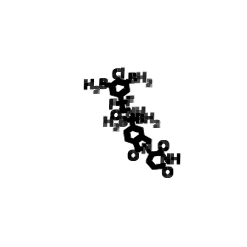 Bc1cc(C(F)(F)C(=O)NC(B)(B)c2ccc3c(c2)CN(C2CCC(=O)NC2=O)C3=O)cc(B)c1Cl